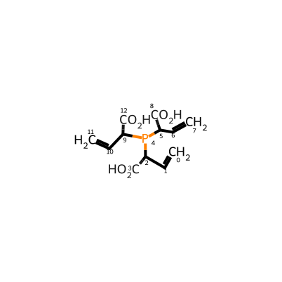 C=CC(C(=O)O)P(C(C=C)C(=O)O)C(C=C)C(=O)O